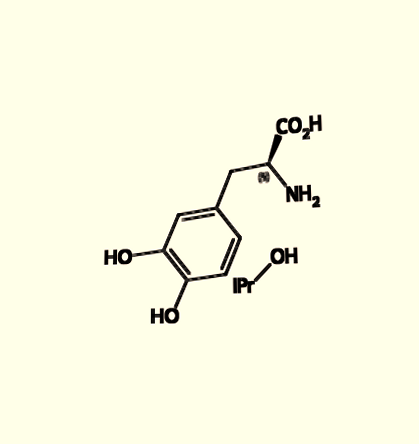 CC(C)O.N[C@@H](Cc1ccc(O)c(O)c1)C(=O)O